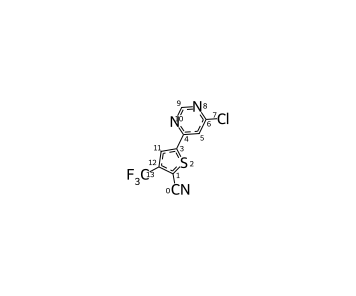 N#Cc1sc(-c2cc(Cl)ncn2)cc1C(F)(F)F